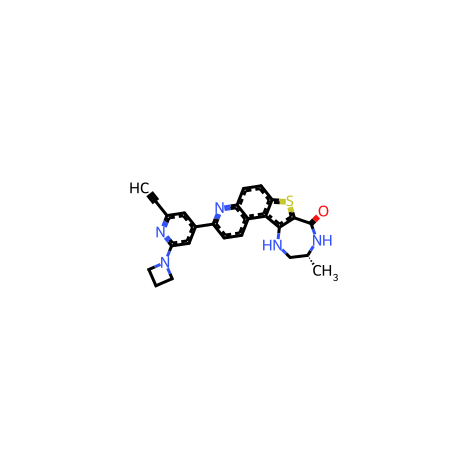 C#Cc1cc(-c2ccc3c(ccc4sc5c(c43)NC[C@@H](C)NC5=O)n2)cc(N2CCC2)n1